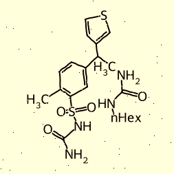 CCCCCCNC(N)=O.Cc1ccc(C(C)c2ccsc2)cc1S(=O)(=O)NC(N)=O